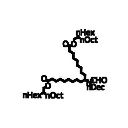 CCCCCCCCCCN(C=O)C(CCCCCCCCC(=O)OCC(CCCCCC)CCCCCCCC)CCCCCCCCC(=O)OCC(CCCCCC)CCCCCCCC